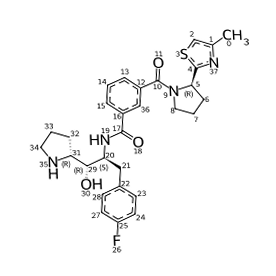 Cc1csc([C@H]2CCCN2C(=O)c2cccc(C(=O)N[C@@H](Cc3ccc(F)cc3)[C@H](O)[C@H]3CCCN3)c2)n1